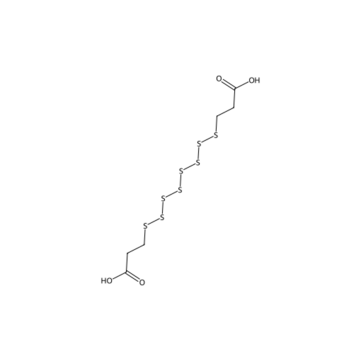 O=C(O)CCSSSSSSSSCCC(=O)O